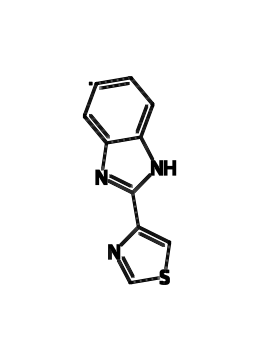 [c]1ccc2[nH]c(-c3cscn3)nc2c1